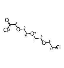 O=C(Cl)COCCOCCOCCCl